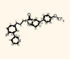 O=c1n(CCCc2ccc(F)c(-c3cccnc3)c2)nc2ccc(-c3ccc(OC(F)(F)F)cc3)cn12